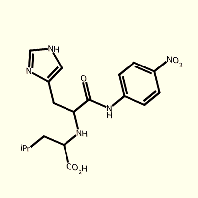 CC(C)CC(NC(Cc1c[nH]cn1)C(=O)Nc1ccc([N+](=O)[O-])cc1)C(=O)O